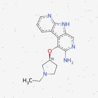 CCN1CC[C@H](Oc2c(N)ncc3[nH]c4ncccc4c23)C1